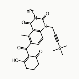 CCCn1c(=O)c2c(C)c(C(=O)C3=C(O)CCCC3=O)ccc2n(CC#CS(C)(C)C)c1=O